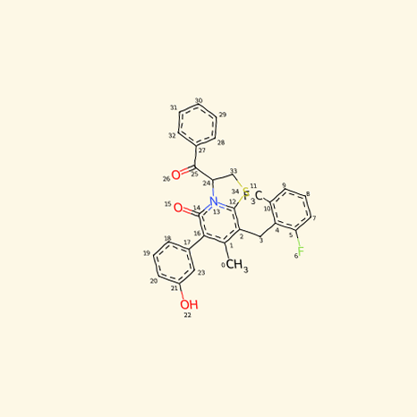 Cc1c(Cc2c(F)cccc2C(F)(F)F)c2n(c(=O)c1-c1cccc(O)c1)C(C(=O)c1ccccc1)CS2